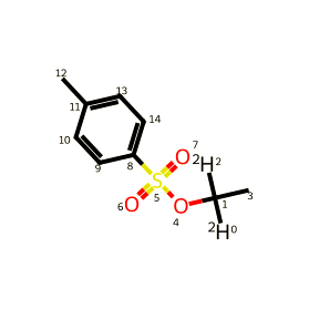 [2H]C([2H])(C)OS(=O)(=O)c1ccc(C)cc1